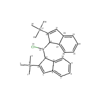 C[Si](C)(C)C1=Cc2ccccc2[CH]1[V]([Cl])[CH]1C([Si](C)(C)C)=Cc2ccccc21